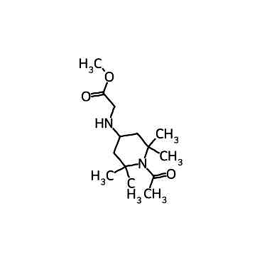 COC(=O)CNC1CC(C)(C)N(C(C)=O)C(C)(C)C1